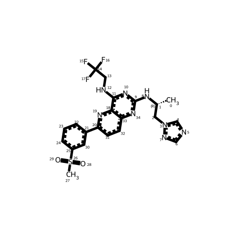 C[C@H](Cn1cncn1)Nc1nc(NCC(F)(F)F)c2nc(-c3cccc(S(C)(=O)=O)c3)ccc2n1